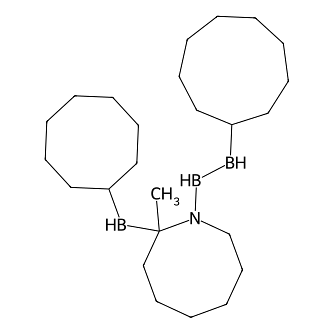 CC1(BC2CCCCCCC2)CCCCCCN1BBC1CCCCCCCC1